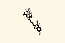 COC(=O)N[C@H](C(=O)N(S)CCCCCc1nc2cc(Br)ccc2c(=O)[nH]1)C(C)C